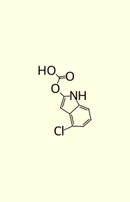 O=C(O)Oc1cc2c(Cl)cccc2[nH]1